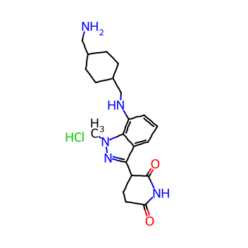 Cl.Cn1nc(C2CCC(=O)NC2=O)c2cccc(NCC3CCC(CN)CC3)c21